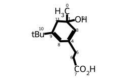 CC1(O)C=C(CCC(=O)O)C=C(C(C)(C)C)C1